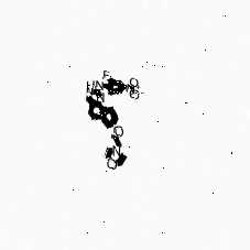 O=[N+]([O-])c1ccc(Nc2ncc3c(n2)-c2ccc(OCCN4CCOCC4)cc2CC3)c(F)c1